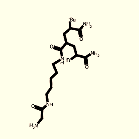 CC(C)C(CC(CC(C(N)=O)C(C)(C)C)C(=O)NCCCCCNC(=O)CN)C(N)=O